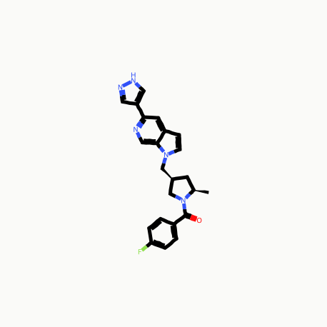 C[C@@H]1C[C@H](Cn2ccc3cc(-c4cn[nH]c4)ncc32)CN1C(=O)c1ccc(F)cc1